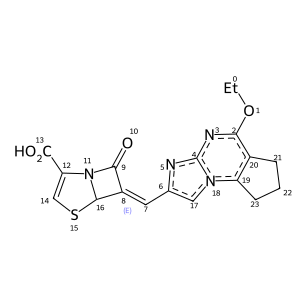 CCOc1nc2nc(/C=C3\C(=O)N4C(C(=O)O)=CSC34)cn2c2c1CCC2